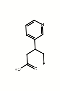 O=C(O)CC(CF)c1cccnc1